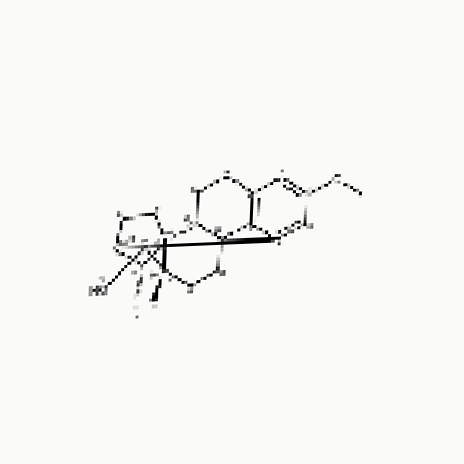 COc1cc2c3c([C@]45CC[C@@]6(C4)C(CC2)C3CC[C@]6(C)[C@H]5O)c1